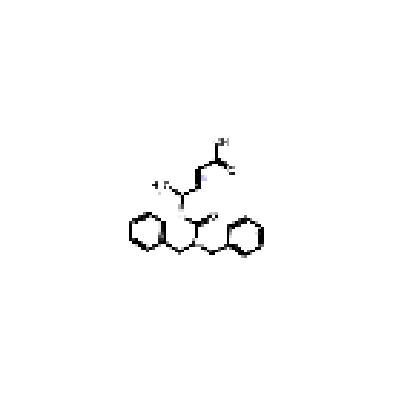 CC(/C=C/C(=O)O)OC(=O)N(Cc1ccccc1)Cc1ccccc1